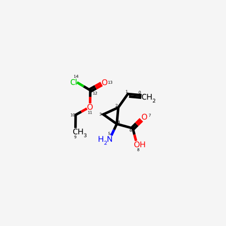 C=CC1CC1(N)C(=O)O.CCOC(=O)Cl